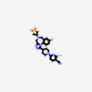 N#Cc1ccc(N2CCC(c3nnc4n3-c3ccc(Cl)cc3CN(C3CS(=O)(=O)C3)C4)CC2)nc1F